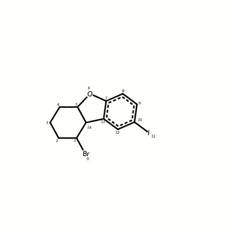 BrC1CCCC2Oc3ccc(I)cc3C12